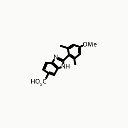 COc1cc(C)c(-c2nc3ccc(C(=O)O)cc3[nH]2)c(C)c1